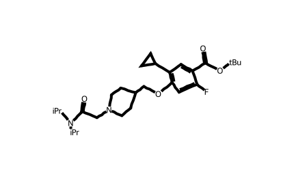 CC(C)N(C(=O)CN1CCC(COc2cc(F)c(C(=O)OC(C)(C)C)cc2C2CC2)CC1)C(C)C